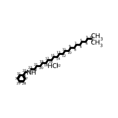 CC(C)CCCCCCCCCCCCCCCCCCCCCNCc1ccccc1.Cl